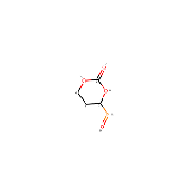 O=PC1CCOC(=O)O1